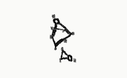 C1CO1.c1ccc2c(c1)O2